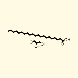 CCCCCCCCCCCCCCCCCCCCC(=O)O.OCC(O)CO